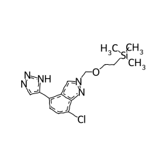 C[Si](C)(C)CCOCn1cc2c(-c3cnn[nH]3)ccc(Cl)c2n1